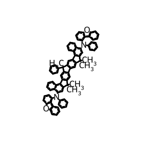 CC1(C)c2cc3c(cc2-c2c1cc(N(c1ccccc1)c1cccc4oc5ccccc5c14)c1ccccc21)C(C)(c1ccccc1)c1cc2c(cc1-3)C(C)(C)c1cc(N(c3ccccc3)c3cccc4oc5ccccc5c34)c3ccccc3c1-2